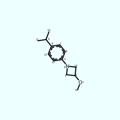 COC1CN(c2ccc(C(C)C)cc2)C1